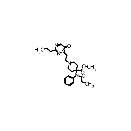 CCCc1ncc(=O)n(CCN2CCC(C(=O)OC)(N(C(=O)CC)c3ccccc3)CC2)n1